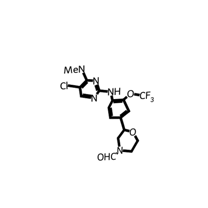 CNc1nc(Nc2ccc(C3CN(C=O)CCO3)cc2OC(F)(F)F)ncc1Cl